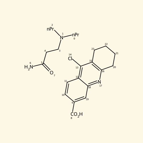 CCCN(CCC)CCC(N)=O.O=C(O)c1ccc2c(Cl)c3c(nc2c1)CCCC3